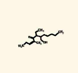 CCC=C(C)C(=O)C(CC)C(CO)CCCCC